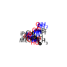 CC[C@H](C)[C@@H]([C@@H](CC(=O)N1CCC[C@H]1[C@H](OC)[C@@H](C)C(=O)N[C@H](C)[C@@H](O)c1ccccc1)OC)N(C)C(=O)[C@@H](NC(=O)[C@H](C(C)C)N(C)C(=O)OCc1ccc(NC(=O)[C@H](CCCNC(N)=O)NC(=O)[C@@H](NC(C)C)C(C)C)cc1)C(C)C